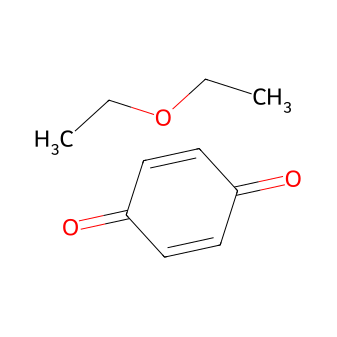 CCOCC.O=C1C=CC(=O)C=C1